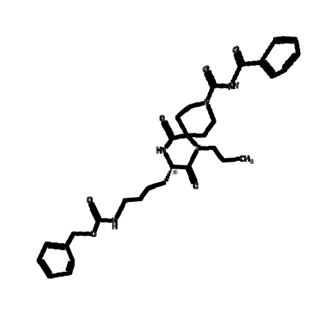 CCCN1C(=O)[C@H](CCCCNC(=O)OCc2ccccc2)NC(=O)C12CCN(C(=O)NC(=O)c1ccccc1)CC2